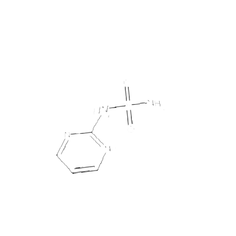 NS(=O)(=O)Nc1ncccn1